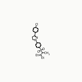 CCN(CC)C(C)S(=O)(=O)c1ccc(N2CCC(c3ccc(Cl)cc3)=N2)cc1